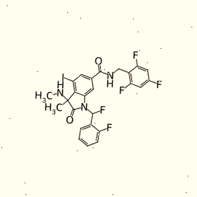 CNC1(C)C(=O)N(C(F)c2ccccc2F)c2cc(C(=O)NCc3c(F)cc(F)cc3F)cc(I)c21